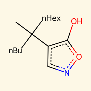 CCCCCCC(C)(CCCC)c1cnoc1O